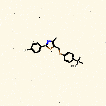 Cc1nc(-c2ccc(C(F)(F)F)cc2)sc1CSc1ccc(C(C)(C)C(=O)O)cc1